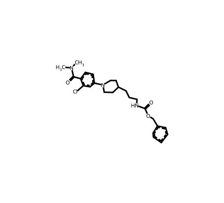 CN(C)C(=O)c1ccc(N2CCC(CCCNC(=O)OCc3ccccc3)CC2)cc1Cl